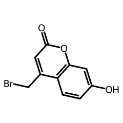 O=c1cc(CBr)c2ccc(O)cc2o1